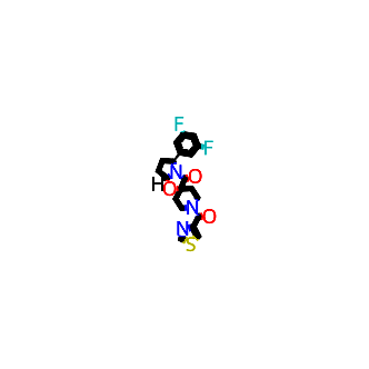 O=C(c1cscn1)N1CCC2(CC1)O[C@@H]1CC[C@@H](c3cc(F)cc(F)c3)N1C2=O